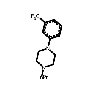 CCCN1CCN(c2cccc(C(F)(F)F)c2)CC1